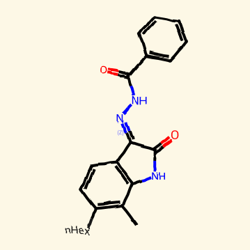 CCCCCCc1ccc2c(c1C)NC(=O)/C2=N\NC(=O)c1ccccc1